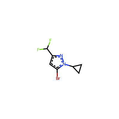 FC(F)c1cc(Br)n(C2CC2)n1